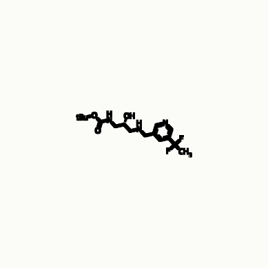 CC(C)(C)OC(=O)NC[C@H](O)CNCc1cncc(C(C)(F)F)c1